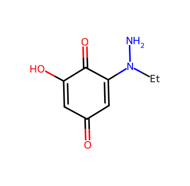 CCN(N)C1=CC(=O)C=C(O)C1=O